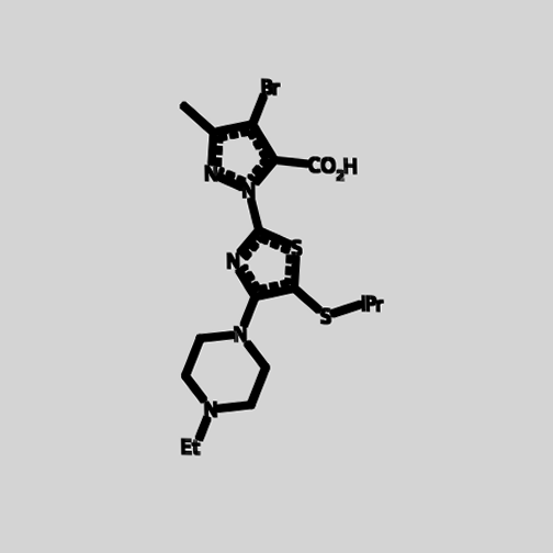 CCN1CCN(c2nc(-n3nc(C)c(Br)c3C(=O)O)sc2SC(C)C)CC1